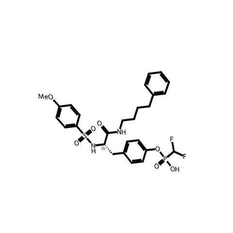 COc1ccc(S(=O)(=O)N[C@@H](Cc2ccc(OP(=O)(O)C(F)F)cc2)C(=O)NCCCCc2ccccc2)cc1